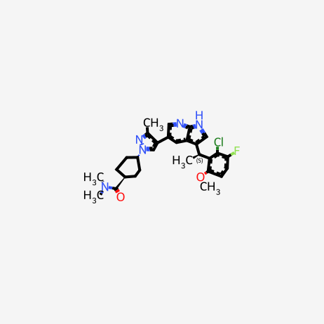 COc1ccc(F)c(Cl)c1[C@@H](C)c1c[nH]c2ncc(-c3cn([C@H]4CC[C@H](C(=O)N(C)C)CC4)nc3C)cc12